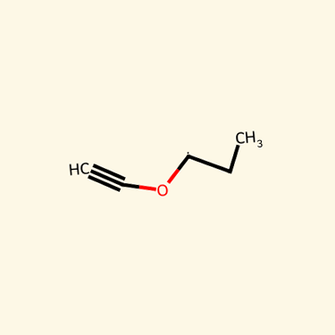 C#CO[CH]CC